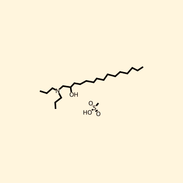 CCCCCCCCCCCCCC(O)CN(CCC)CCC.CS(=O)(=O)O